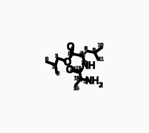 CC(C)COC(=O)[C@H](CC(C)C)NC(=O)[C@H](C)N